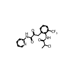 CC(Cl)C(=O)Nc1c(CC(=O)C(=O)Nc2ccccn2)cccc1C(F)(F)F